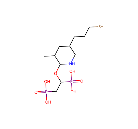 CC1CC(CCCS)CNC1OC(CP(=O)(O)O)P(=O)(O)O